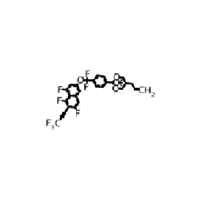 C=CCC12COC(c3ccc(C(F)(F)Oc4cc(F)c5c(F)c(C#CC(F)(F)F)c(F)cc5c4)cc3)(OC1)OC2